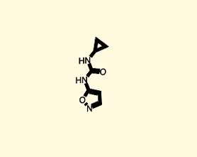 O=C(Nc1ccno1)NC1CC1